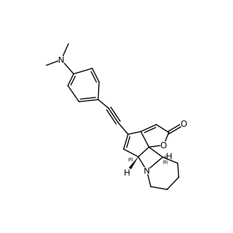 CN(C)c1ccc(C#CC2=C[C@H]3N4CCCC[C@@H]4C34OC(=O)C=C24)cc1